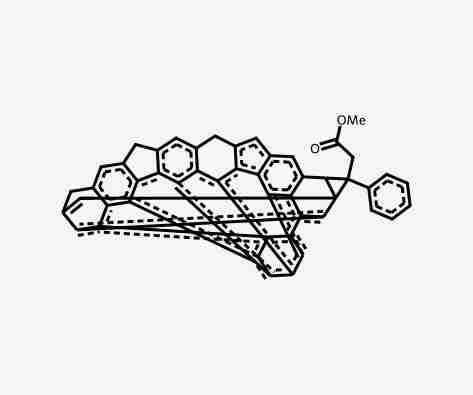 COC(=O)CC1(c2ccccc2)C2c3cc4cc5c6c4c4c3c3c7c8c9c%10c(cc%11c%12c%13c(cc(c%14c%13c%13c(c%12%10)c9c3c4c%13c6%14)C5)C%11)CC8=CC721